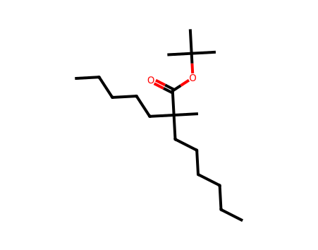 CCCCCCC(C)(CCCCC)C(=O)OC(C)(C)C